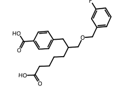 O=C(O)CCCCC(COCc1cccc(F)c1)Cc1ccc(C(=O)O)cc1